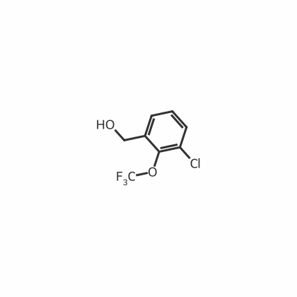 OCc1cccc(Cl)c1OC(F)(F)F